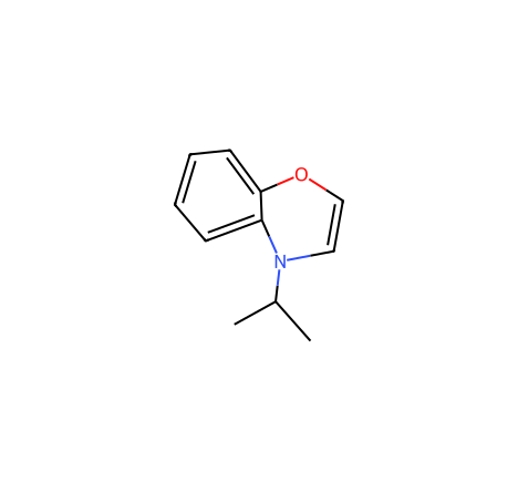 CC(C)N1C=COc2ccccc21